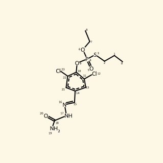 CCCSP(=O)(OCC)Oc1c(Cl)cc(C=NNC(N)=O)cc1Cl